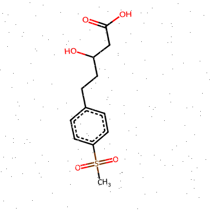 CS(=O)(=O)c1ccc(CCC(O)CC(=O)O)cc1